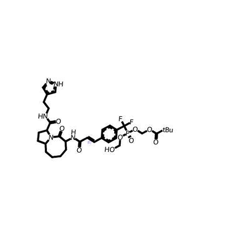 CC(C)(C)C(=O)OCOP(=O)(OCO)C(F)(F)c1ccc(/C=C/C(=O)NC2CCCCC3CCC(C(=O)NCCc4cn[nH]c4)N3C2=O)cc1